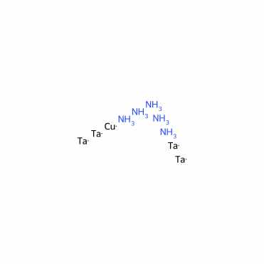 N.N.N.N.N.[Cu].[Ta].[Ta].[Ta].[Ta]